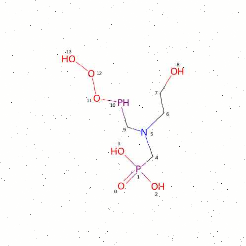 O=P(O)(O)CN(CCO)CPOOO